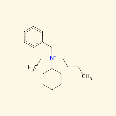 CCCC[N+](CC)(Cc1ccccc1)C1CCCCC1